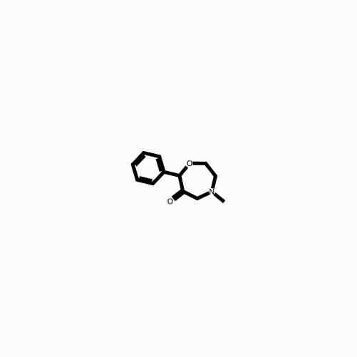 CN1CCOC(c2ccccc2)C(=O)C1